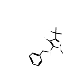 Cn1nc(C(F)(F)F)c(N)c1NCc1ccccc1